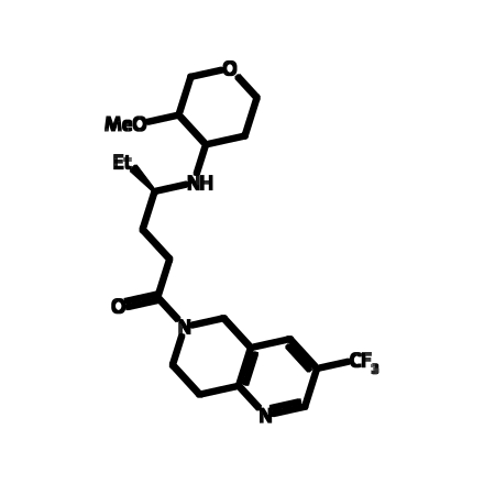 CC[C@H](CCC(=O)N1CCc2ncc(C(F)(F)F)cc2C1)NC1CCOCC1OC